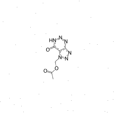 CC(=O)OCn1nnc2nn[nH]c(=O)c21